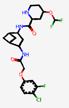 O=C(COc1ccc(Cl)c(F)c1)NC1CC(NC(=O)C2CC(OC(F)F)CCN2)C2CC1C2